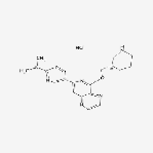 CN(C)c1ncc(-c2cc3nccnc3c(OC[C@H]3CCCNC3)n2)cn1.Cl